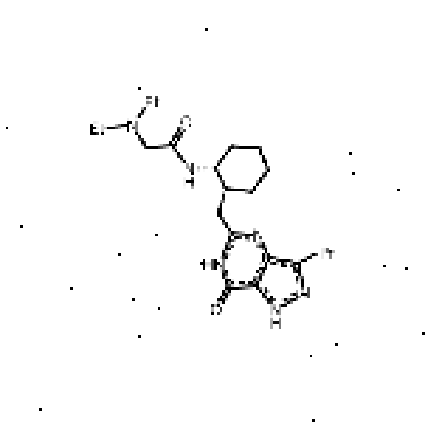 CCN(CC)CC(=O)N[C@@H]1CCCC[C@H]1Cc1nc2c(C(C)C)n[nH]c2c(=O)[nH]1